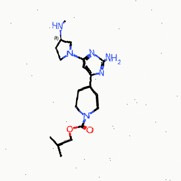 CN[C@@H]1CCN(c2cc(C3CCN(C(=O)OCC(C)C)CC3)nc(N)n2)C1